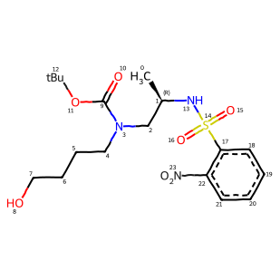 C[C@H](CN(CCCCO)C(=O)OC(C)(C)C)NS(=O)(=O)c1ccccc1[N+](=O)[O-]